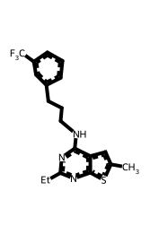 CCc1nc(NCCCc2cccc(C(F)(F)F)c2)c2cc(C)sc2n1